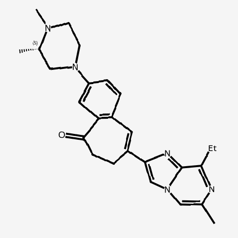 CCc1nc(C)cn2cc(C3=Cc4ccc(N5CCN(C)[C@@H](C)C5)cc4C(=O)CC3)nc12